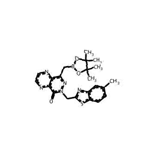 Cc1ccc2sc(Cn3nc(CB4OC(C)(C)C(C)(C)O4)c4nccnc4c3=O)nc2c1